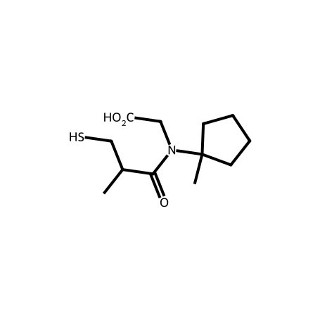 CC(CS)C(=O)N(CC(=O)O)C1(C)CCCC1